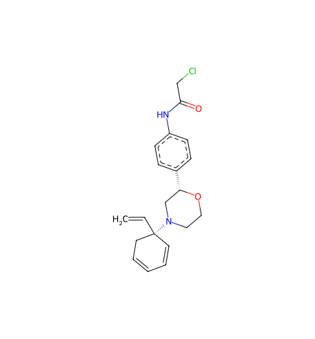 C=C[C@@]1(N2CCO[C@@H](c3ccc(NC(=O)CCl)cc3)C2)C=CC=CC1